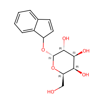 OC[C@H]1O[C@H](OC2C=Cc3ccccc32)[C@H](O)[C@@H](O)[C@H]1O